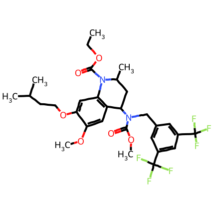 CCOC(=O)N1c2cc(OCCC(C)C)c(OC)cc2C(N(Cc2cc(C(F)(F)F)cc(C(F)(F)F)c2)C(=O)OC)CC1C